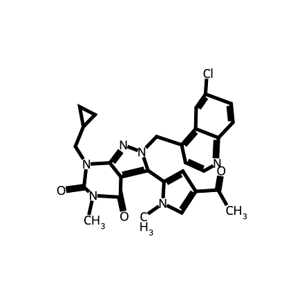 CC(=O)c1cc(-c2c3c(=O)n(C)c(=O)n(CC4CC4)c3nn2Cc2ccnc3ccc(Cl)cc23)n(C)c1